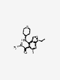 CCn1ncc2c(NC3CCOCC3)c(C(=O)NN)c(C)nc21